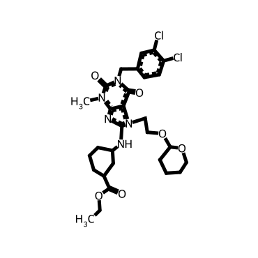 CCOC(=O)C1CCCC(Nc2nc3c(c(=O)n(Cc4ccc(Cl)c(Cl)c4)c(=O)n3C)n2CCOC2CCCCO2)C1